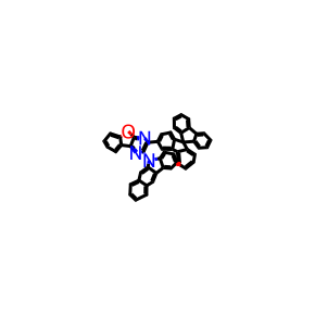 c1ccc2c(c1)-c1ccccc1C21c2ccccc2-c2cc(-c3nc4oc5ccccc5c4nc3-n3c4ccccc4c4cc5ccccc5cc43)ccc21